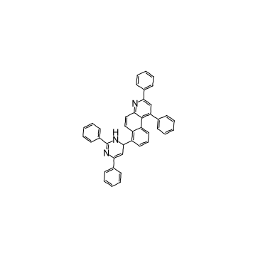 C1=C(c2ccccc2)N=C(c2ccccc2)NC1c1cccc2c1ccc1nc(-c3ccccc3)cc(-c3ccccc3)c12